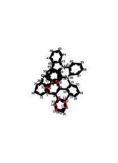 c1ccc(-c2ccccc2-c2c(-c3ccccc3)cccc2N(c2ccc3sc4ccccc4c3c2)c2ccccc2-n2c3ccccc3c3ccccc32)cc1